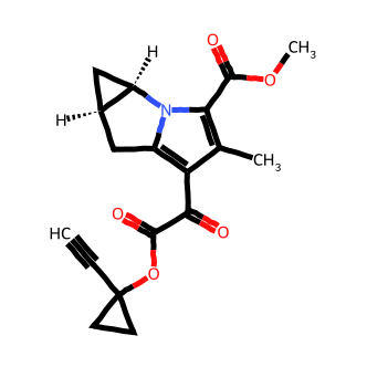 C#CC1(OC(=O)C(=O)c2c(C)c(C(=O)OC)n3c2C[C@H]2C[C@H]23)CC1